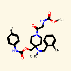 CCc1ccc(NC(=O)OCC2(N(C=O)Cc3ccccc3C#N)CCN(C(=O)CNC(=O)OC(C)(C)C)CC2)cc1